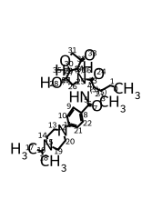 CC[C@H](C)[C@H](NC(=O)c1ccc(N2CCN(C(C)C)CC2)cc1)C(=O)N1C[C@@H](O)[C@H]2OCC(=O)[C@H]21